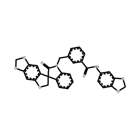 O=C(Nc1ccc2c(c1)OCO2)c1cccc(CN2C(=O)C3(COc4cc5c(cc43)OCO5)c3ccccc32)c1